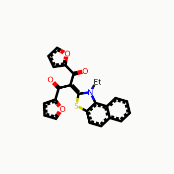 CCN1C(=C(C(=O)c2ccco2)C(=O)c2ccco2)Sc2ccc3ccccc3c21